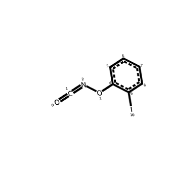 O=C=NOc1ccccc1I